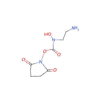 NCCN(O)C(=O)ON1C(=O)CCC1=O